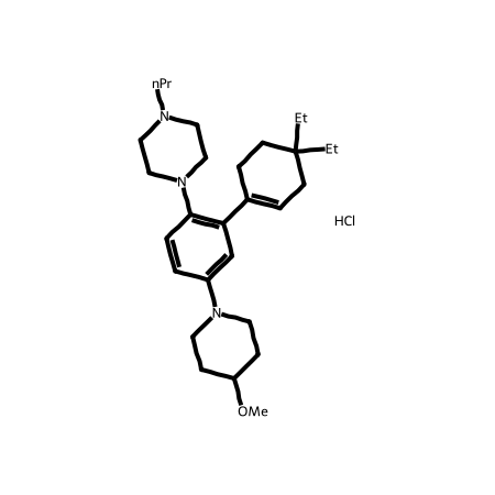 CCCN1CCN(c2ccc(N3CCC(OC)CC3)cc2C2=CCC(CC)(CC)CC2)CC1.Cl